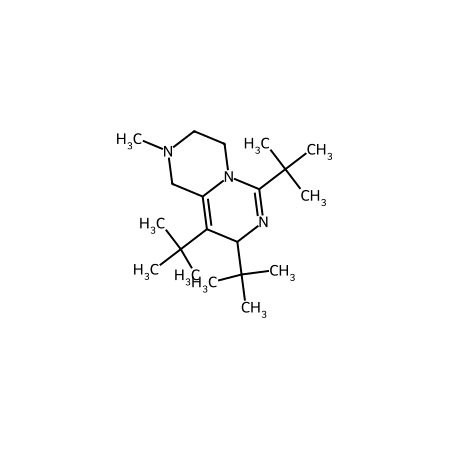 CN1CCN2C(C(C)(C)C)=NC(C(C)(C)C)C(C(C)(C)C)=C2C1